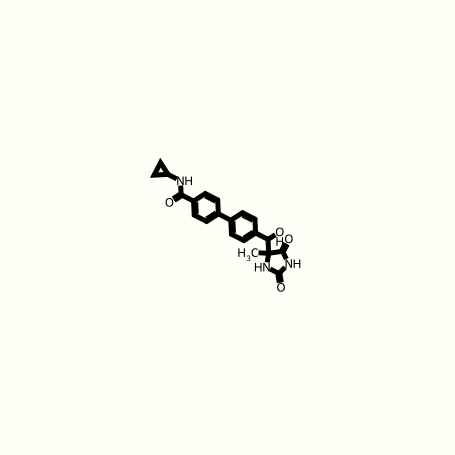 CC1(C(O)c2ccc(-c3ccc(C(=O)NC4CC4)cc3)cc2)NC(=O)NC1=O